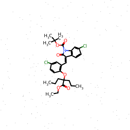 CCCC(CCC)(Oc1ccc(Cl)cc1/C=C1\C(=O)N(C(=O)OC(C)(C)C)c2cc(Cl)ccc21)C(=O)OCC